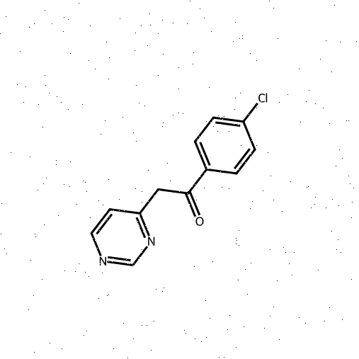 O=C(Cc1ccncn1)c1ccc(Cl)cc1